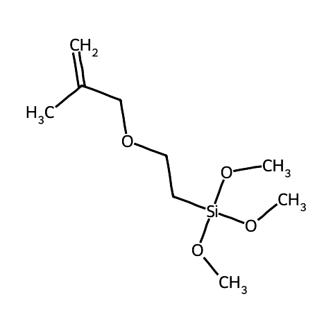 C=C(C)COCC[Si](OC)(OC)OC